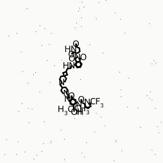 CC(C)(O)c1cc2nc(N3CCC(CN4CCC5(CC4)CC(CCNc4cccc6c4C(=O)N(C4CCC(=O)NC4=O)C6=O)C5)CC3)oc2cc1NC(=O)c1cccc(C(F)(F)F)n1